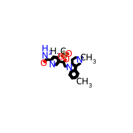 Cc1ccc2c(c1)c1c(n2CC(OS(C)(=O)=O)c2ccc(C(N)=O)nc2)CCN(C)C1